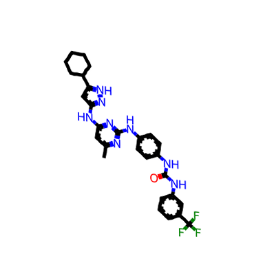 Cc1cc(Nc2cc(C3CCCCC3)[nH]n2)nc(Nc2ccc(NC(=O)Nc3cccc(C(F)(F)F)c3)cc2)n1